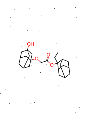 CCC1(OC(=O)COC23CC4CC(CC(O)(C4)C2)C3)C2CC3CC(C2)CC1C3